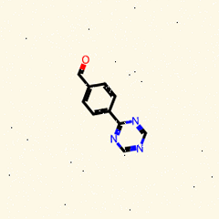 O=Cc1ccc(-c2ncncn2)cc1